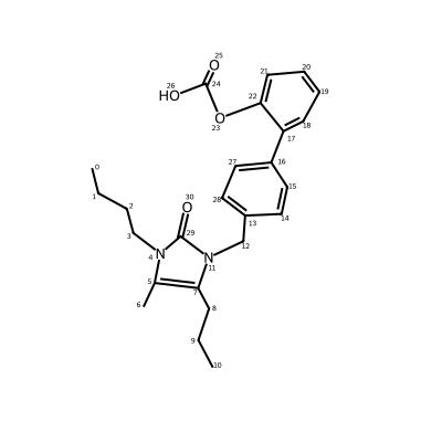 CCCCn1c(C)c(CCC)n(Cc2ccc(-c3ccccc3OC(=O)O)cc2)c1=O